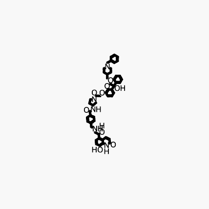 O=C(N[C@H]1CCN(C(=O)COc2cccc([C@](O)(C(=O)OCC3CCN(Cc4ccccc4)CC3)c3ccccc3)c2)C1)c1ccc(CNC[C@H](O)c2ccc(O)c3[nH]c(=O)ccc23)cc1